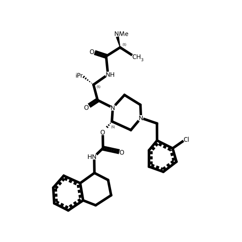 CN[C@@H](C)C(=O)N[C@H](C(=O)N1CCN(Cc2ccccc2Cl)C[C@@H]1OC(=O)NC1CCCc2ccccc21)C(C)C